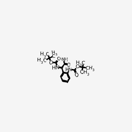 CC(C)(C)OC(=O)Nc1ccccc1C(NC(=O)OC(C)(C)C)C([NH])=O